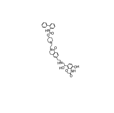 O=C1COc2c([C@@H](O)CNCCc3ccc4c(c3)CCN(CCN3CCC(OC(=O)Nc5ccccc5-c5ccccc5)CC3)C4=O)ccc(O)c2N1